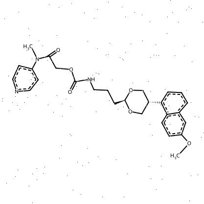 COc1ccc2c(cccc2[C@H]2CO[C@H](CCCNC(=O)OCC(=O)N(C)c3ccncc3)OC2)c1